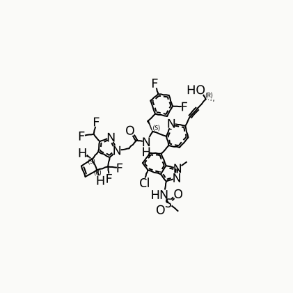 C[C@@H](O)C#Cc1ccc(-c2ccc(Cl)c3c(NS(C)(=O)=O)nn(C)c23)c([C@H](Cc2cc(F)cc(F)c2)NC(=O)Cn2nc(C(F)F)c3c2C(F)(F)[C@@H]2C=C[C@H]32)n1